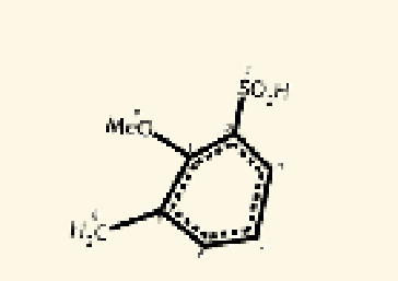 COc1c(S(=O)(=O)O)[c]ccc1C